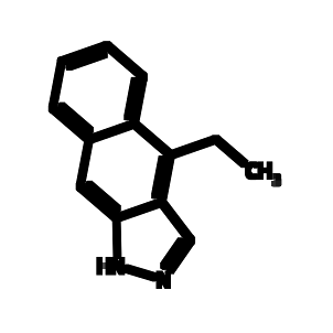 CCc1c2ccccc2cc2[nH]ncc12